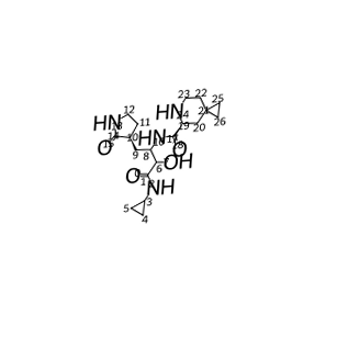 O=C(NC1CC1)C(O)C(C[C@@H]1CCNC1=O)NC(=O)[C@@H]1CC2(CCN1)CC2